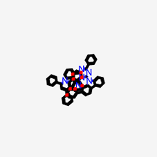 c1ccc(-c2cc(-c3ccccc3)nc(-c3ccccc3-n3c4ccccc4c4ccc5c6ccccc6n(-c6nc(-c7ccccc7)nc(-c7ccccc7-c7ccccc7)n6)c5c43)c2)cc1